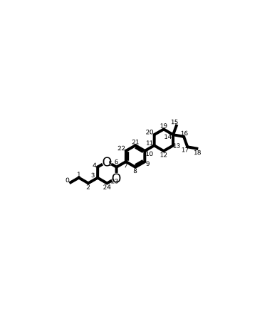 CCCC1COC(c2ccc(C3CCC(C)(CCC)CC3)cc2)OC1